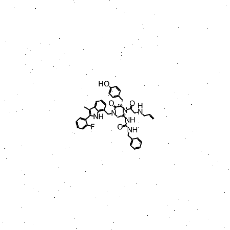 C=CCNCC(=O)N1[C@@H](NC(=O)NCc2ccccc2)CN(Cc2cccc3c(C)c(-c4ccccc4F)[nH]c23)C(=O)[C@@H]1Cc1ccc(O)cc1